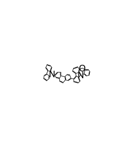 c1ccc2c(c1)Oc1cccc3c4c(-c5ccc6c(ccc7cc(-n8c9ccccc9c9ccccc98)ccc76)c5)cccc4n-2c13